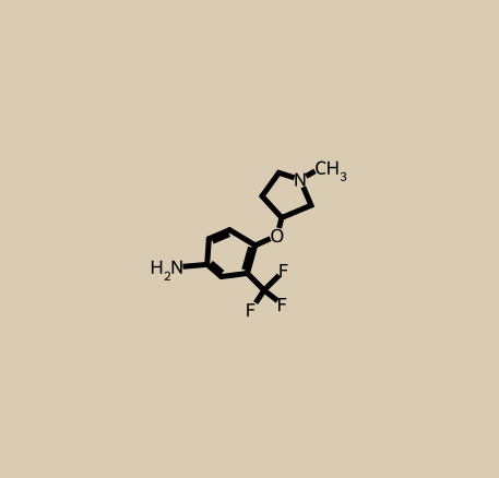 CN1CCC(Oc2ccc(N)cc2C(F)(F)F)C1